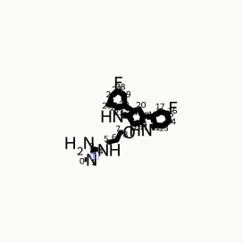 C/N=C(\N)NCCCOc1c2[nH]c3ccc(F)cc3c2cc2c1[nH]c1ccc(F)cc12